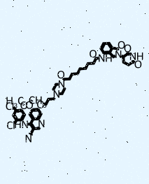 COc1cc(Nc2c(C#N)cnc3cc(OCCCN4CCN(C(=O)CCCCCCCC(=O)Nc5cccc6c5CN(C5CCC(=O)NC5=O)C6=O)CC4)c(OC)cc23)c(Cl)cc1Cl